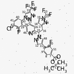 CC(C)(C)OC(=O)c1ccc(-c2cnn(C(Cc3ccn(C(F)F)n3)c3ccc(-c4c(-n5cc(C(F)(F)F)nn5)ccc(Cl)c4F)cn3)c2)c(F)c1